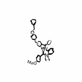 COc1ccc(C(=O)Nc2ccccc2NC(=O)C2CCN(Cc3ccc(OCc4ccccc4)cc3)CC2)cc1